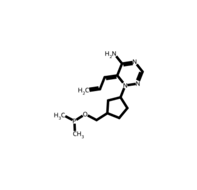 C=C/C=C1/C(N)=NC=NN1C1CCC(COP(C)C)C1